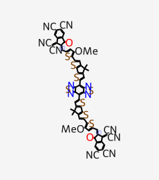 COc1cc(/C=C2\C(=O)c3cc(C#N)c(C#N)cc3C2=C(C#N)C#N)sc1-c1cc2c(s1)-c1sc(-c3c4c(c(-c5cc6c(s5)-c5sc(-c7sc(/C=C8\C(=O)c9cc(C#N)c(C#N)cc9C8=C(C#N)C#N)cc7OC)cc5C6(C)C)c5nsnc35)N=S=N4)cc1C2(C)C